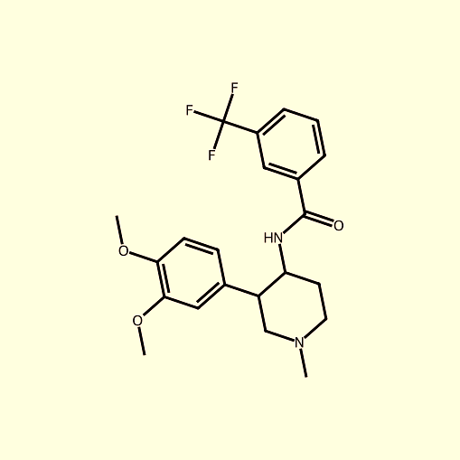 COc1ccc(C2CN(C)CCC2NC(=O)c2cccc(C(F)(F)F)c2)cc1OC